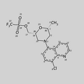 C[C@@H]1CN(c2ccc(Cl)c3ncccc23)C[C@H](COS(=O)(=O)C(F)(F)F)O1